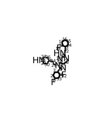 Fc1ccc(-c2nc3cnc(NCc4ccccc4F)nc3n2CCC2CCNCC2)c(F)c1